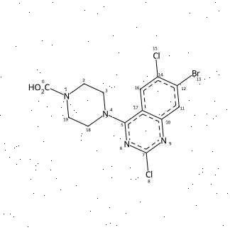 O=C(O)N1CCN(c2nc(Cl)nc3cc(Br)c(Cl)cc23)CC1